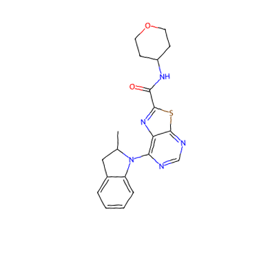 CC1Cc2ccccc2N1c1ncnc2sc(C(=O)NC3CCOCC3)nc12